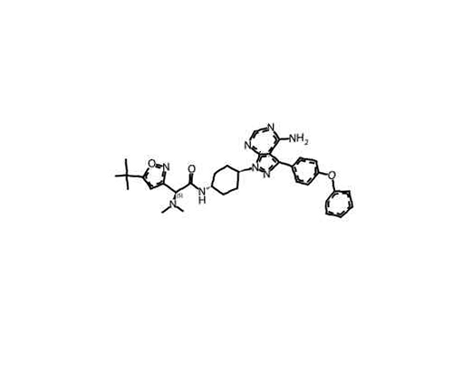 CN(C)[C@H](C(=O)N[C@H]1CC[C@H](n2nc(-c3ccc(Oc4ccccc4)cc3)c3c(N)ncnc32)CC1)c1cc(C(C)(C)C)on1